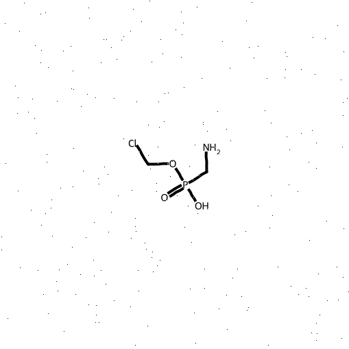 NCP(=O)(O)OCCl